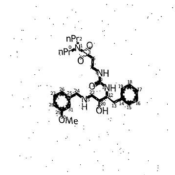 CCCN(CCC)S(=O)(=O)CCNC(=O)N[C@@H](Cc1ccccc1)[C@@H](O)CNCc1cccc(OC)c1